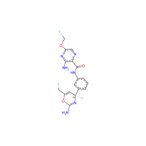 C[C@@]1(c2cccc(NC(=O)c3ncc(OCF)nc3N)c2)C=C(CF)OC(N)=N1